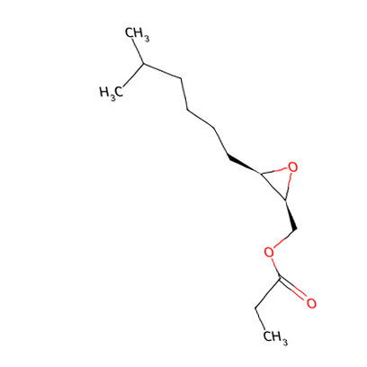 CCC(=O)OC[C@@H]1O[C@@H]1CCCCC(C)C